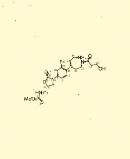 COC(=S)NC[C@H]1CN(c2ccc(N3CCNN(C(=O)CCO)CC3)c(F)c2)C(=O)O1